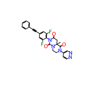 CC12CC(=O)N(c3c(F)cc(C#Cc4ccccc4)cc3F)C(=O)N1CCN(c1ccnnc1)C2=O